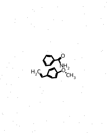 C=Cc1ccc(OC)cc1.NC(=O)c1ccccc1